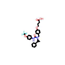 O=C(O)CCCOc1ccc(CN(C(=O)Nc2ccc(OC(F)(F)F)cc2)C2CC2c2ccccc2)cc1